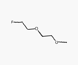 COCCOCCF